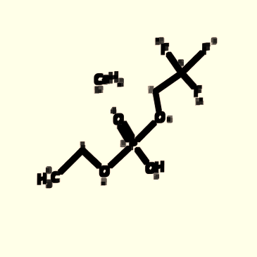 CCOP(=O)(O)OCC(F)(F)F.[CaH2]